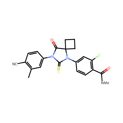 CNC(=O)c1ccc(N2C(=S)N(c3ccc(C#N)c(C)c3)C(=O)C23CCC3)cc1F